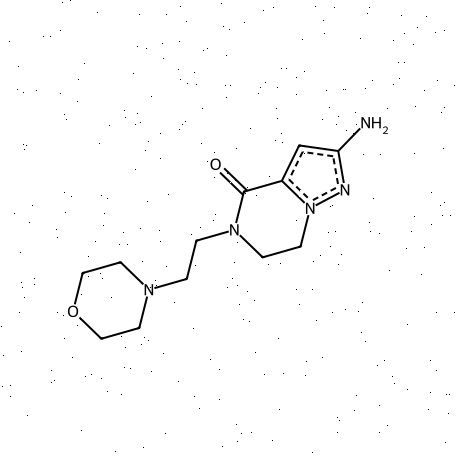 Nc1cc2n(n1)CCN(CCN1CCOCC1)C2=O